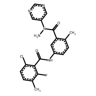 Cc1ccc(NC(=O)c2c(Cl)ccc(C)c2F)cc1C(=O)N(N)c1cncnc1